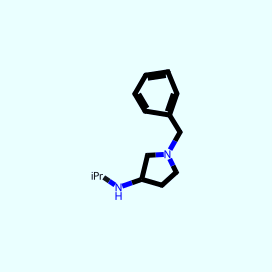 CC(C)NC1CCN(Cc2ccccc2)C1